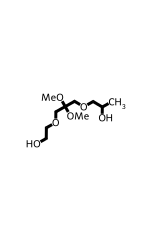 COC(COCCO)(COCC(C)O)OC